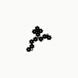 c1ccc(C2(c3ccccc3)c3ccccc3-c3cc(N(c4ccc(-c5cccc(-c6ccc7oc8ccccc8c7c6)c5)cc4)c4cccc(-c5ccc6sc7ccccc7c6c5)c4)ccc32)cc1